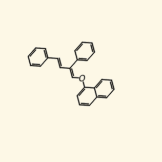 C(=Cc1ccccc1)C(=COc1cccc2ccccc12)c1ccccc1